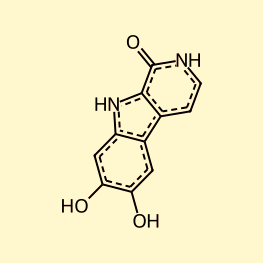 O=c1[nH]ccc2c1[nH]c1cc(O)c(O)cc12